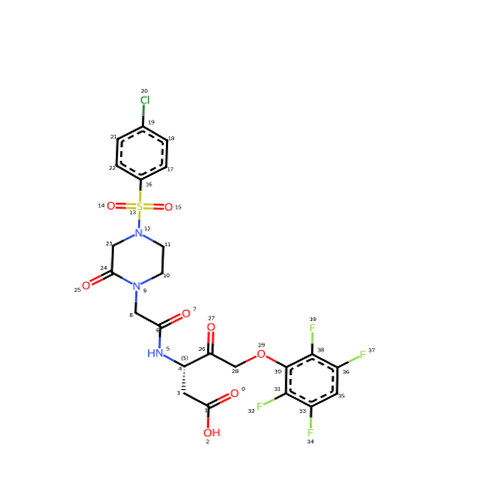 O=C(O)C[C@H](NC(=O)CN1CCN(S(=O)(=O)c2ccc(Cl)cc2)CC1=O)C(=O)COc1c(F)c(F)cc(F)c1F